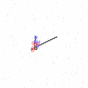 CCCCCCCCCCCCCCCCCCN(C=O)c1cccc(OC(C)=O)c1COC(=O)NCCCN(C)C